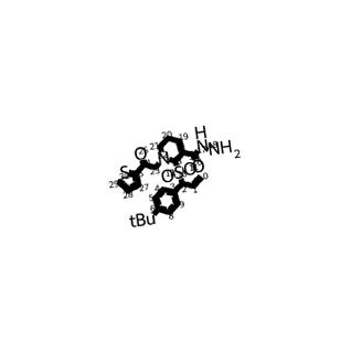 C=CC(c1ccc(C(C)(C)C)cc1)S(=O)(=O)C1C(C(=O)NN)=CCCN1CC(=O)c1cccs1